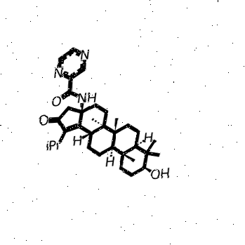 CC(C)C1=C2[C@H]3CC[C@@H]4[C@@]5(C)CC[C@H](O)C(C)(C)[C@@H]5CC[C@@]4(C)[C@]3(C)CC[C@@]2(NC(=O)c2cnccn2)CC1=O